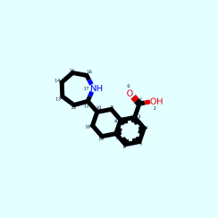 O=C(O)c1cccc2c1CC(C1CCCCCN1)CC2